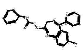 O=C(Nc1ccccc1)ONC1=Nc2ccc(Br)cc2C(c2ccccn2)=NC1